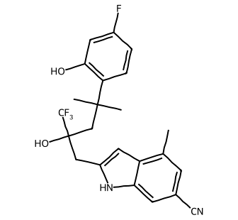 Cc1cc(C#N)cc2[nH]c(CC(O)(CC(C)(C)c3ccc(F)cc3O)C(F)(F)F)cc12